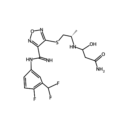 C[C@@H](CSc1nonc1C(=N)Nc1ccc(F)c(C(F)F)c1)NC(O)CC(N)=O